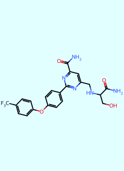 NC(=O)c1cc(CNC(CO)C(N)=O)nc(-c2ccc(Oc3ccc(C(F)(F)F)cc3)cc2)n1